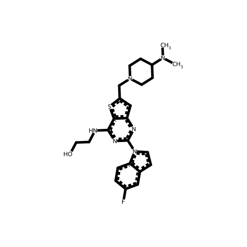 CN(C)C1CCN(Cc2cc3nc(-n4ccc5cc(F)ccc54)nc(NCCO)c3s2)CC1